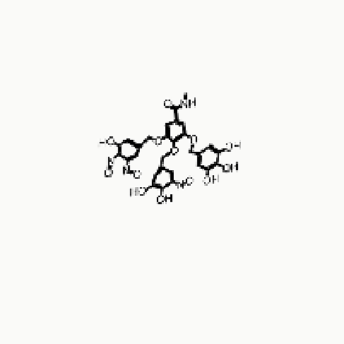 CNC(=O)c1cc(OCc2cc(O)c(O)c(O)c2)c(OCc2cc(O)c(O)c(N=O)c2)c(OCc2cc(O)c(N=O)c(N=O)c2)c1